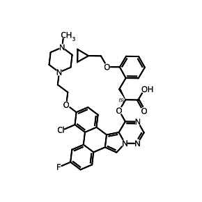 CN1CCN(CCOc2ccc3c(c2Cl)c2cc(F)ccc2c2cn4ncnc(O[C@@H](Cc5ccccc5OCC5CC5)C(=O)O)c4c23)CC1